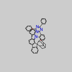 c1ccc(-c2nc(-c3ccccc3)nc(-c3ccccc3-n3c4ccccc4c4ccc5c(c43)C3(c4ccccc4-5)C4CC5CC(C4)CC3C5)n2)cc1